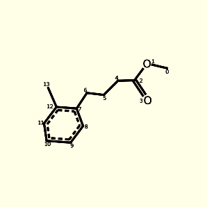 COC(=O)CCCc1ccccc1C